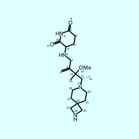 C=C(CNC1CCC(=O)NC1=O)C(C)(OC)[C@H](C)N1CCC2(CC1)CNC2